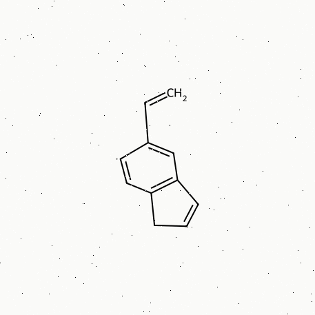 C=Cc1[c]cc2c(c1)C=CC2